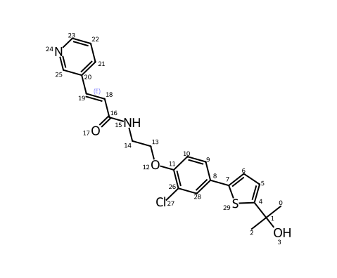 CC(C)(O)c1ccc(-c2ccc(OCCNC(=O)/C=C/c3cccnc3)c(Cl)c2)s1